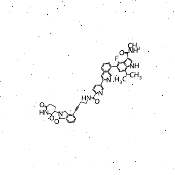 CNC(=O)c1c[nH]c2c(C(C)C)cc(-c3cccc4cc(-c5ccc(C(=O)NCCC#Cc6cccc7c6CN(C6CCC(=O)NC6=O)C7=O)nc5)ncc34)c(F)c12